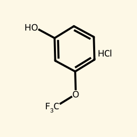 Cl.Oc1cccc(OC(F)(F)F)c1